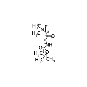 CC(C)(C)OC(=O)NCC(=O)C1CC1(C)C